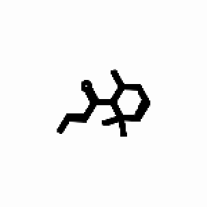 C/C=C/C(=O)C1C(C)CC=CC1(C)C